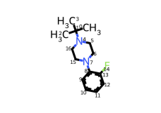 CC(C)(C)N1CCN(c2ccccc2F)CC1